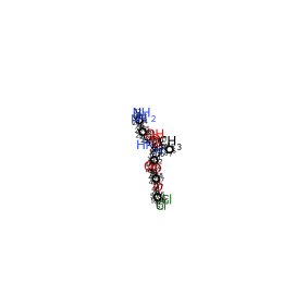 CC[C@@H](c1ccccc1)N1Cc2cc3c(cc2C[C@H]1C(=O)NC(Cc1ccc(-c2cnc(N)nc2)cc1)C(=O)O)OC[C@H](c1ccc(OCc2ccc(Cl)c(Cl)c2)cc1)O3